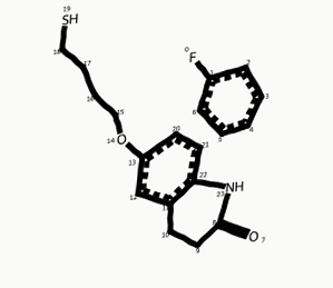 Fc1ccccc1.O=C1CCc2cc(OCCCCS)ccc2N1